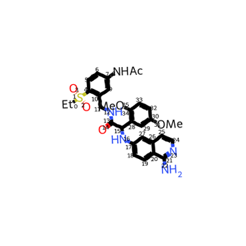 CCS(=O)(=O)c1ccc(NC(C)=O)cc1CNC(=O)C(Nc1ccc2c(N)nccc2c1)c1cc(OC)ccc1OC